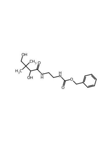 CC(C)(CO)C(O)C(=O)NCCNC(=O)OCc1ccccc1